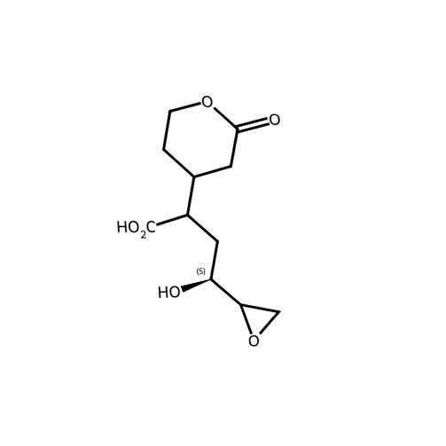 O=C1CC(C(C[C@H](O)C2CO2)C(=O)O)CCO1